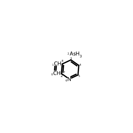 C=C.[AsH3].c1ccncc1